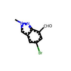 Cn1cc2cc(Br)cc(C=O)c2n1